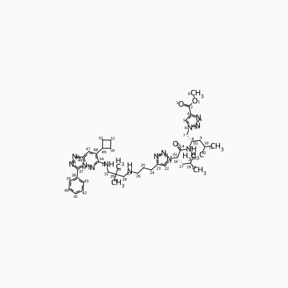 COC(=O)c1cn(C[C@H](CC(C)C)NC(=O)[C@H](CC(C)C)n2cc(CCCNCC(C)(C)CNc3nn4c(-c5ccccc5)nnc4cc3C3CCC3)nn2)nn1